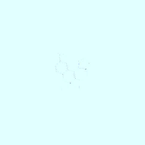 CC1=C(N2CCCC2=O)c2cc([N+](=O)[O-])ccc2OC1(C)C